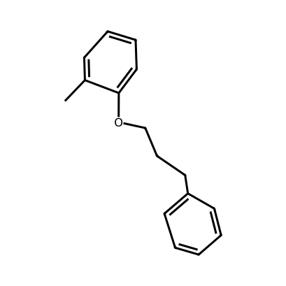 Cc1ccccc1OCCCc1ccccc1